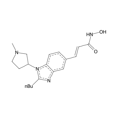 CCCCc1nc2cc(/C=C/C(=O)NO)ccc2n1C1CCN(C)C1